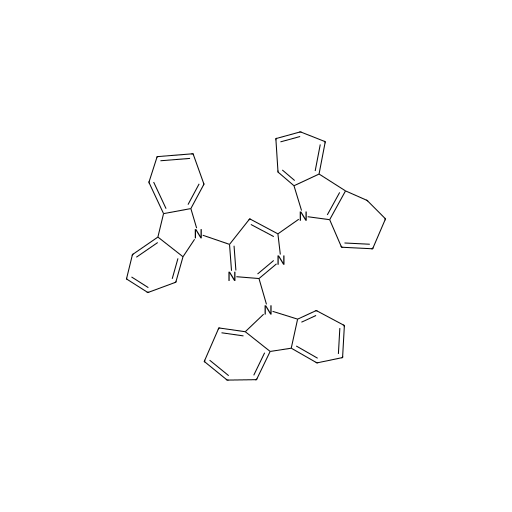 C1=Cc2c(c3ccccc3n2-c2cc(-n3c4ccccc4c4ccccc43)nc(-n3c4ccccc4c4ccccc43)n2)CC1